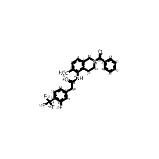 Cc1ccc2c(c1NC(=O)Cc1ccc(C(F)(F)F)c(F)c1)CCN(C(=O)c1ccccc1)C2